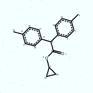 Cc1ccc(C(C(=O)OC2CC2)c2ccc(C)cc2)cc1